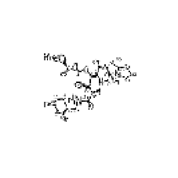 COC(=O)OCOc1c2n(cc(C(=O)NCc3ccc(F)cc3F)c1=O)C[C@@H]1N(C[C@@]3(C)CCCN13)C2=O